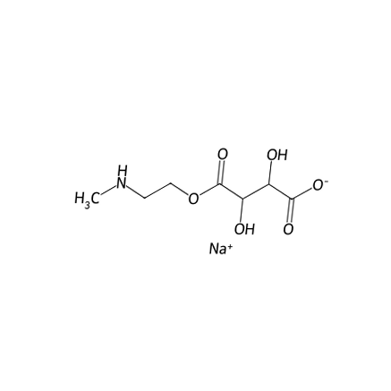 CNCCOC(=O)C(O)C(O)C(=O)[O-].[Na+]